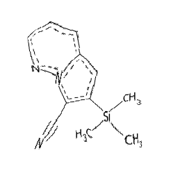 C[Si](C)(C)c1cc2cccnn2c1C#N